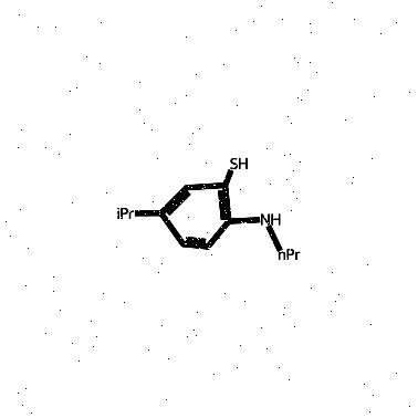 CCCNc1ccc(C(C)C)cc1S